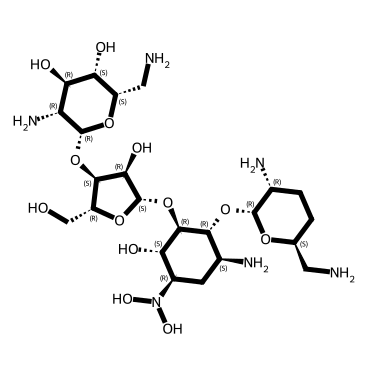 NC[C@@H]1CC[C@@H](N)[C@@H](O[C@H]2[C@H](O[C@@H]3O[C@H](CO)[C@@H](O[C@H]4O[C@@H](CN)[C@@H](O)[C@H](O)[C@H]4N)[C@H]3O)[C@@H](O)[C@H](N(O)O)C[C@@H]2N)O1